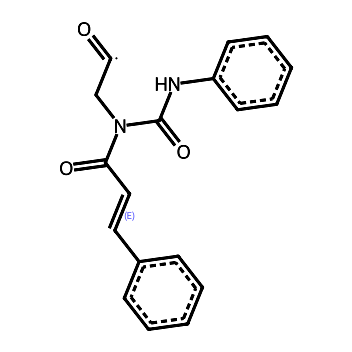 O=[C]CN(C(=O)/C=C/c1ccccc1)C(=O)Nc1ccccc1